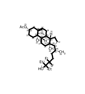 CCC(O)(CC)C(F)(F)CC[C@@H](C)[C@H]1CC[C@H]2[C@@H]3CC=C4C[C@@H](OC(C)=O)CC[C@]4(C)[C@H]3CC[C@]12C